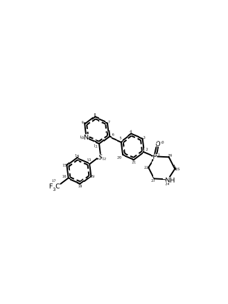 O=P1(c2ccc(-c3cccnc3Sc3ccc(C(F)(F)F)cc3)cc2)CCNCC1